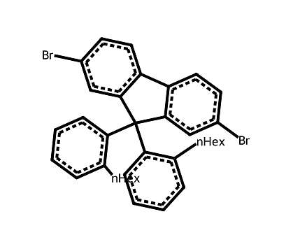 CCCCCCc1ccccc1C1(c2ccccc2CCCCCC)c2cc(Br)ccc2-c2ccc(Br)cc21